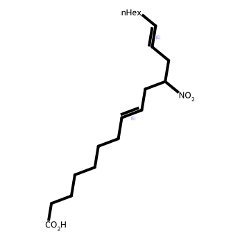 CCCCCC/C=C/CC(C/C=C/CCCCCCC(=O)O)[N+](=O)[O-]